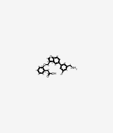 NCc1cc(F)cc(-c2ccc3occ(COc4ccccc4CC(=O)O)c3c2)c1